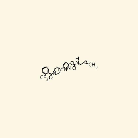 CC1CC1CNC(=O)Oc1ccc(N2CCN(C(=O)c3ccccc3C(F)(F)F)CC2)nn1